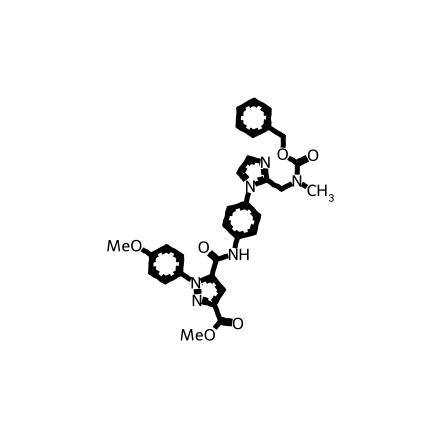 COC(=O)c1cc(C(=O)Nc2ccc(-n3ccnc3CN(C)C(=O)OCc3ccccc3)cc2)n(-c2ccc(OC)cc2)n1